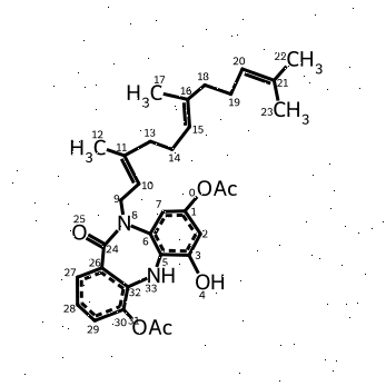 CC(=O)Oc1cc(O)c2c(c1)N(C/C=C(\C)CC/C=C(\C)CCC=C(C)C)C(=O)c1cccc(OC(C)=O)c1N2